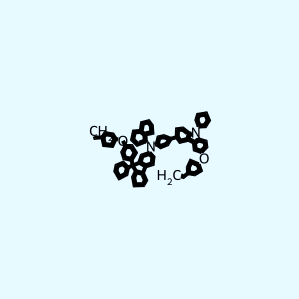 C=Cc1ccc(Oc2ccc(C3(c4ccccc4)c4ccccc4-c4ccc(N(c5ccc(-c6ccc7c(c6)c6cc(Oc8ccc(C=C)cc8)ccc6n7-c6ccccc6)cc5)c5cccc6ccccc56)cc43)cc2)cc1